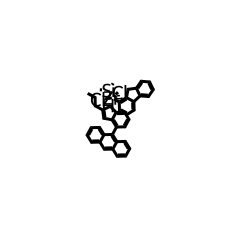 CCCC1=Cc2c(-c3c4ccccc4cc4ccccc34)cccc2[CH]1[Zr]([Cl])([Cl])([c]1cccc2c1Cc1ccccc1-2)[SiH](C)C